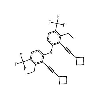 CCc1c(C(F)(F)F)ccc(Sc2ccc(C(F)(F)F)c(CC)c2C#CC2CCC2)c1C#CC1CCC1